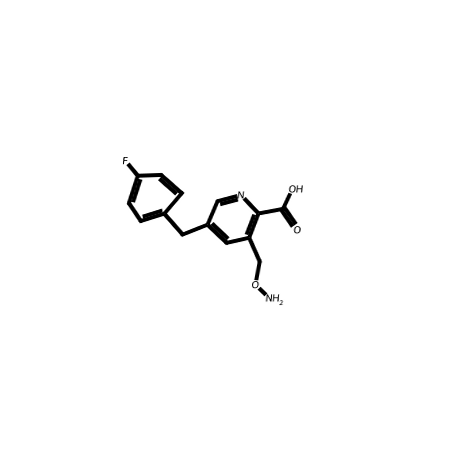 NOCc1cc(Cc2ccc(F)cc2)cnc1C(=O)O